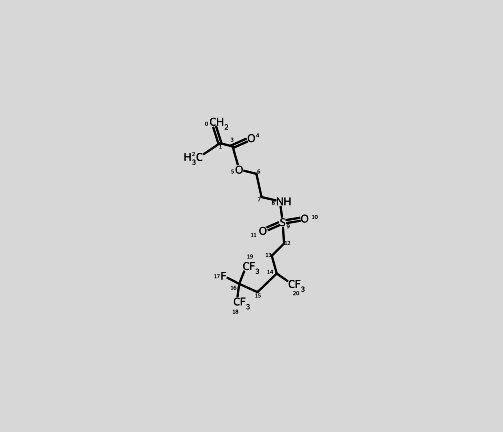 C=C(C)C(=O)OCCNS(=O)(=O)CCC(CC(F)(C(F)(F)F)C(F)(F)F)C(F)(F)F